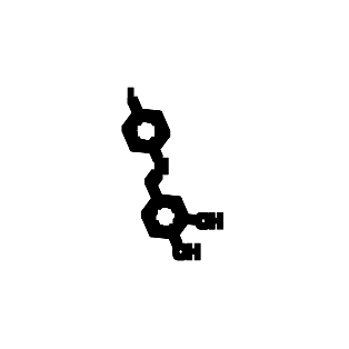 Oc1ccc(C=Nc2ccc(I)cc2)cc1O